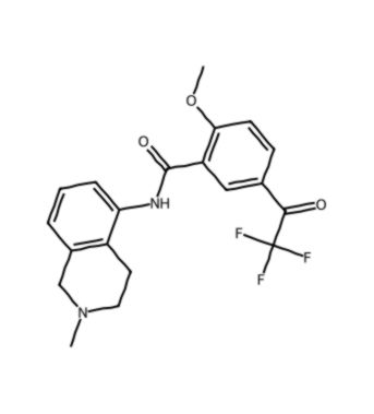 COc1ccc(C(=O)C(F)(F)F)cc1C(=O)Nc1cccc2c1CCN(C)C2